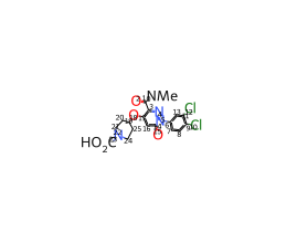 CNC(=O)c1nn(-c2ccc(Cl)c(Cl)c2)c(=O)cc1OC1CCN(C(=O)O)CC1